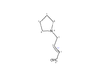 O=C/C=C/CN1CCCC1